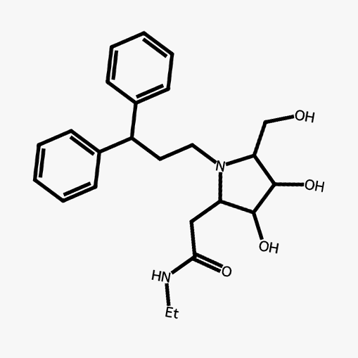 CCNC(=O)CC1C(O)C(O)C(CO)N1CCC(c1ccccc1)c1ccccc1